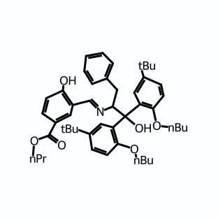 CCCCOc1ccc(C(C)(C)C)cc1C(O)(c1cc(C(C)(C)C)ccc1OCCCC)C(Cc1ccccc1)N=Cc1cc(C(=O)OCCC)ccc1O